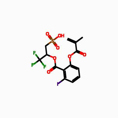 C=C(C)C(=O)Oc1cccc(I)c1C(=O)OC(CS(=O)(=O)O)C(F)(F)F